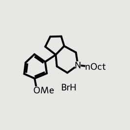 Br.CCCCCCCCN1CCC2(c3cccc(OC)c3)CCCC2C1